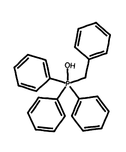 OP(Cc1ccccc1)(c1ccccc1)(c1ccccc1)c1ccccc1